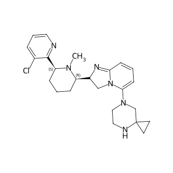 CN1[C@@H](C2CN3C(N4CCNC5(CC5)C4)=CC=CC3=N2)CCC[C@H]1c1ncccc1Cl